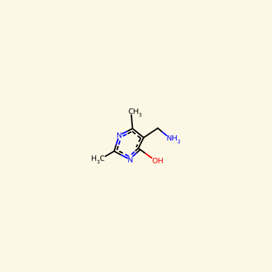 Cc1nc(C)c(CN)c(O)n1